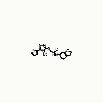 CCn1c(SCC(=O)Nc2ccc3c(c2)OCC3)nnc1-c1cccs1